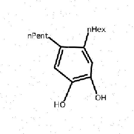 CCCCCCc1cc(O)c(O)cc1CCCCC